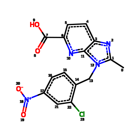 Cc1nc2ccc(C(=O)O)nc2n1Cc1ccc([N+](=O)[O-])cc1Cl